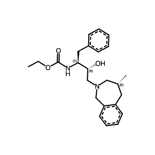 CCOC(=O)N[C@@H](Cc1ccccc1)[C@H](O)CN1Cc2ccccc2C[C@@H](C)C1